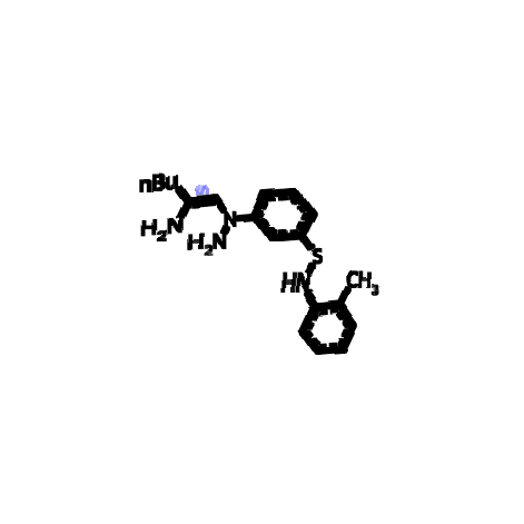 CCCC/C(N)=C/N(N)c1cccc(SNc2ccccc2C)c1